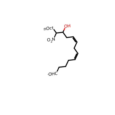 CCCCCCCCC(C(O)C/C=C\C/C=C\CCC[C]=O)[N+](=O)[O-]